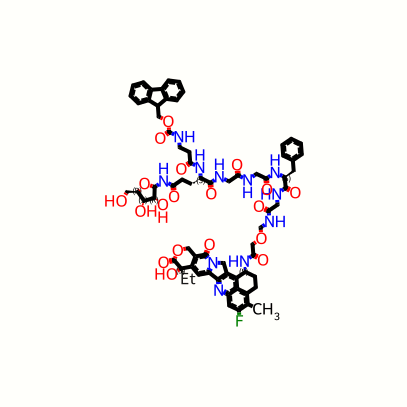 CC[C@@]1(O)C(=O)OCc2c1cc1n(c2=O)Cc2c-1nc1cc(F)c(C)c3c1c2[C@@H](NC(=O)COCNC(=O)CNC(=O)[C@H](Cc1ccccc1)NC(=O)CNC(=O)CNC(=O)[C@H](CCC(=O)NC1O[C@H](CO)[C@@H](O)[C@H]1O)NC(=O)CCNC(=O)OCC1c2ccccc2-c2ccccc21)CC3